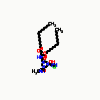 CCCCCCCC/C=C\CCCCCCCCOC(=O)CCC(NC(=O)CN1CCN(C(=O)CNC)CCN(C(O)CNCl)CC1)C(=O)OCCCCCCCC/C=C\CCCCCCCC